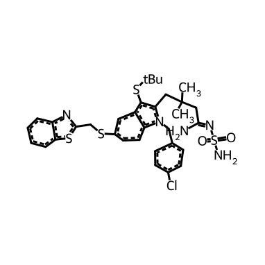 CC(C)(C/C(N)=N/S(N)(=O)=O)Cc1c(SC(C)(C)C)c2cc(SCc3nc4ccccc4s3)ccc2n1Cc1ccc(Cl)cc1